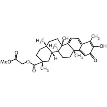 COC(=O)COC(=O)[C@]1(C)CC[C@]2(C)CC[C@]3(C)C4=CC=C5C(=CC(=O)C(O)=C5C)[C@]4(C)CC[C@@]3(C)[C@@H]2C1